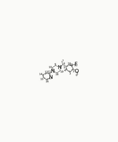 COc1ccc(C(C)N2CCN(c3ccccn3)CC2)cc1F